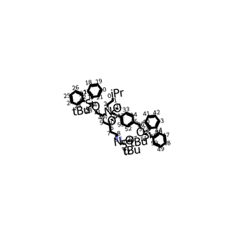 CC(C)CCN([C@@H](CCC/C=N/[S+]([O-])C(C)(C)C)CO[Si](c1ccccc1)(c1ccccc1)C(C)(C)C)S(=O)(=O)c1ccc(CO[Si](c2ccccc2)(c2ccccc2)C(C)(C)C)cc1